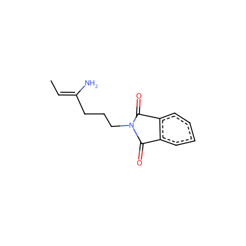 CC=C(N)CCCN1C(=O)c2ccccc2C1=O